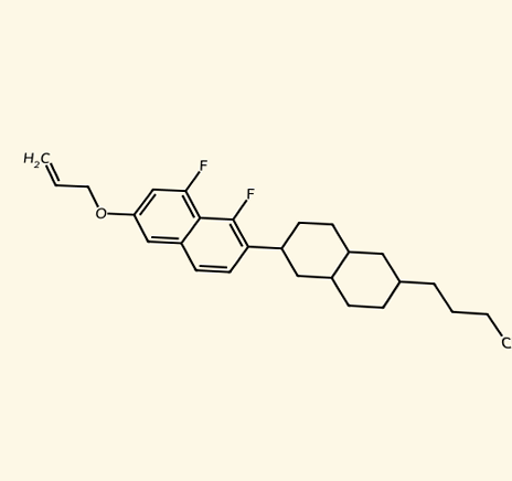 C=CCOc1cc(F)c2c(F)c(C3CCC4CC(CCCC)CCC4C3)ccc2c1